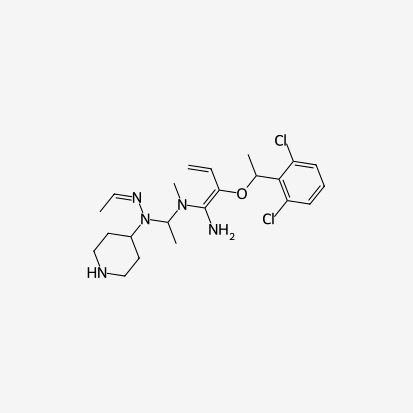 C=C/C(OC(C)c1c(Cl)cccc1Cl)=C(/N)N(C)C(C)N(/N=C\C)C1CCNCC1